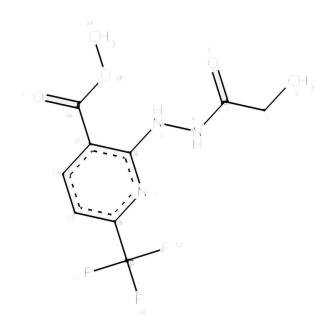 CCC(=O)NNc1nc(C(F)(F)F)ccc1C(=O)OC